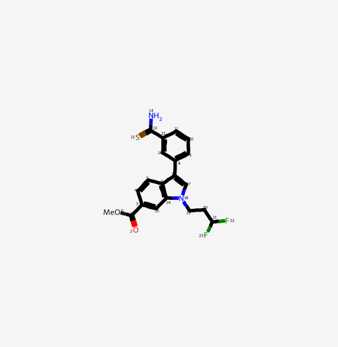 COC(=O)c1ccc2c(-c3cccc(C(N)=S)c3)cn(CCC(F)F)c2c1